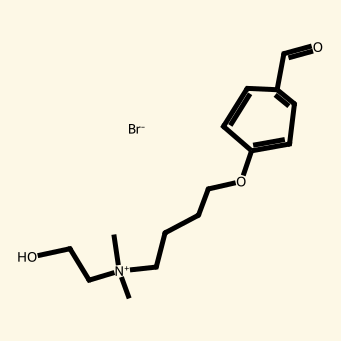 C[N+](C)(CCO)CCCCOc1ccc(C=O)cc1.[Br-]